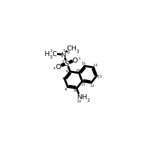 CN(C)S(=O)(=O)c1ccc(N)c2ccccc12